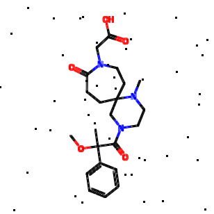 COC(C)(C(=O)N1CCN(C)C2(CCC(=O)N(CC(=O)O)CC2)C1)c1ccccc1